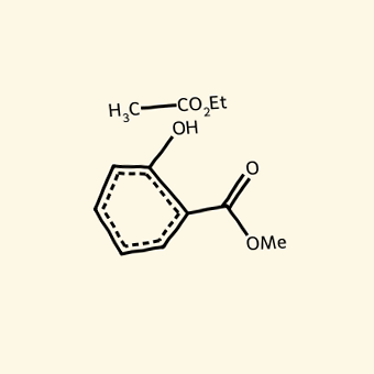 CCOC(C)=O.COC(=O)c1ccccc1O